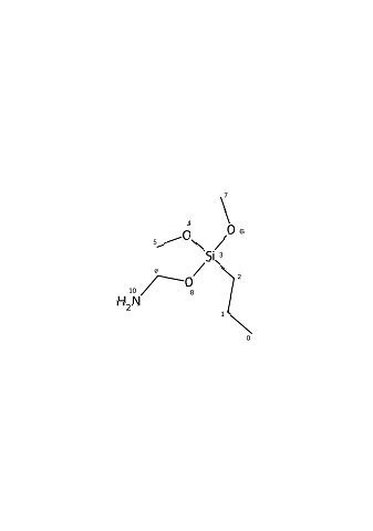 CCC[Si](OC)(OC)OCN